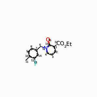 CCOC(=O)c1cccn(Cc2ccc(C)c(F)c2)c1=O